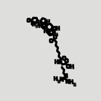 C[C@]12CC[C@H](OC(=O)CCCCCCC(=O)N[C@@H](CCCN=C(N)N)C(=O)O)C[C@@]1(O)CC[C@@H]1[C@@H]2CC[C@]2(C)[C@@H](c3ccc(=O)oc3)CC[C@]12O